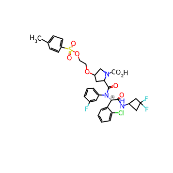 Cc1ccc(S(=O)(=O)OCCOC2CC(C(=O)N(c3cccc(F)c3)[C@H](C(=O)NC3CC(F)(F)C3)c3ccccc3Cl)N(C(=O)O)C2)cc1